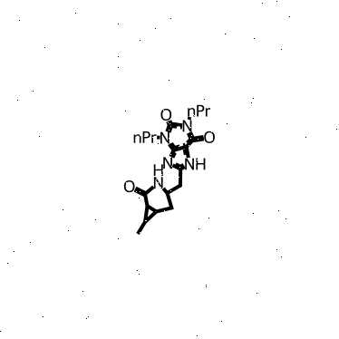 CCCn1c(=O)c2[nH]c(CC3CC4C(C)C4C(=O)N3)nc2n(CCC)c1=O